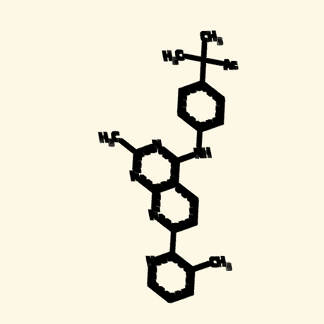 CC(=O)C(C)(C)c1ccc(Nc2nc(C)nc3nc(-c4ncccc4C)ccc23)cc1